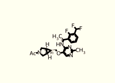 CC(=O)N1C[C@@H]2[C@@H](COc3cnc(C)nc3N[C@H](C)c3cccc(C(F)F)c3F)[C@@H]2C1